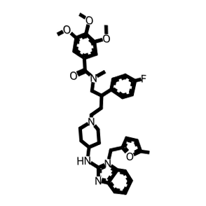 COc1cc(C(=O)N(C)CC(CCN2CCC(Nc3nc4ccccc4n3Cc3ccc(C)o3)CC2)c2ccc(F)cc2)cc(OC)c1OC